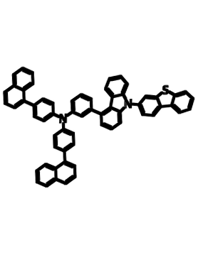 c1cc(-c2cccc3c2c2ccccc2n3-c2ccc3c(c2)sc2ccccc23)cc(N(c2ccc(-c3cccc4ccccc34)cc2)c2ccc(-c3cccc4ccccc34)cc2)c1